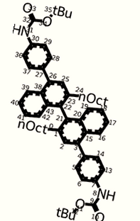 CCCCCCCCc1cc(-c2ccc(NC(=O)OC(C)(C)C)cc2)c2ccccc2c1-c1c(CCCCCCCC)cc(-c2ccc(NC(=O)OC(C)(C)C)cc2)c2ccccc12